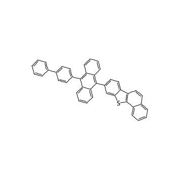 c1ccc(-c2ccc(-c3c4ccccc4c(-c4ccc5c(c4)sc4c6ccccc6ccc54)c4ccccc34)cc2)cc1